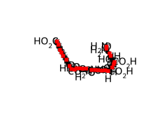 NC(=O)[C@@H](N)CCCCNC(O)CC[C@H](NC(=O)CC[C@H](NC(=O)COCCOCCNC(=O)COCCOCCNC(=O)CC[C@H](NC(=O)CCCCCCCCCCCCCCCCC(=O)O)C(=O)O)C(=O)O)C(=O)O